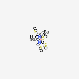 Cc1cc(-c2cc3ccccc3s2)cc(C)c1N1c2cc(C(C)(C)C)cc3c2B(c2ccc(-c4cc5ccccc5s4)cc2N3c2cccc(-c3cc4ccccc4s3)c2)c2sc3ccc(C(C)(C)C)cc3c21